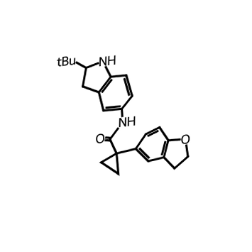 CC(C)(C)C1Cc2cc(NC(=O)C3(c4ccc5c(c4)CCO5)CC3)ccc2N1